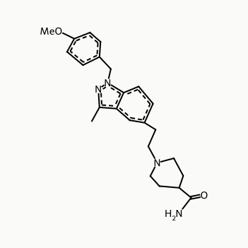 COc1ccc(Cn2nc(C)c3cc(CCN4CCC(C(N)=O)CC4)ccc32)cc1